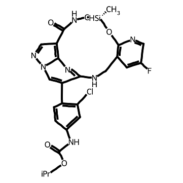 CC(C)OC(=O)Nc1ccc(-c2cn3ncc4c3nc2NCc2cc(F)cnc2O[Si@@H](C)CNC4=O)c(Cl)c1